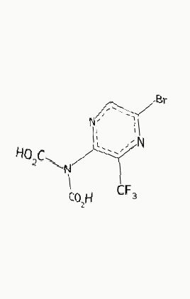 O=C(O)N(C(=O)O)c1ncc(Br)nc1C(F)(F)F